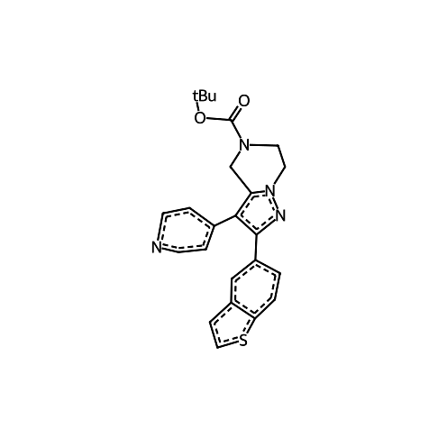 CC(C)(C)OC(=O)N1CCn2nc(-c3ccc4sccc4c3)c(-c3ccncc3)c2C1